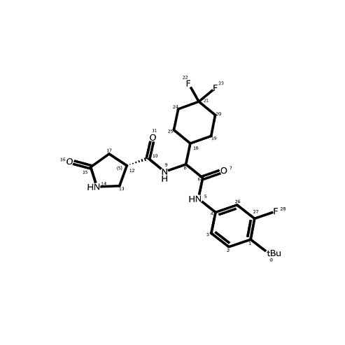 CC(C)(C)c1ccc(NC(=O)C(NC(=O)[C@@H]2CNC(=O)C2)C2CCC(F)(F)CC2)cc1F